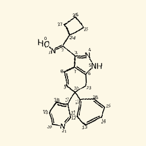 ON=C(c1n[nH]c2c1C=CC(c1ccccc1)(c1cccnc1)C2)C1CCC1